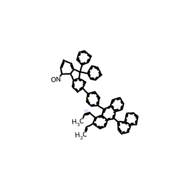 C=Cc1ccc2c(-c3cccc4ccccc34)c3ccccc3c(-c3ccc(-c4ccc5c(c4)C(c4ccccc4)(c4ccccc4)C4=CC=CC(N=O)C45)cc3)c2c1/C=C\C